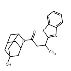 CC(CC(=O)N1C2CC3CC1CC(O)(C3)C2)c1nc2ccccc2s1